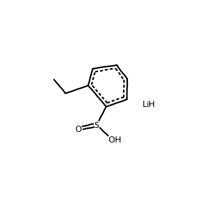 CCc1ccccc1S(=O)O.[LiH]